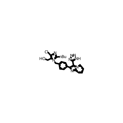 CCCCc1nc(Cl)c(CO)n1Cc1ccc(-c2nc3ccccn3c2-c2nnn[nH]2)cc1